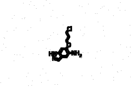 Nc1cc2cn[nH]c2cc1OCCCCl